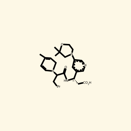 CC1=CCN(C(CC(C)C)C(=O)N[C@@H](CC(=O)O)c2cncc(N3CCOC(C)(C)C3)c2)C=C1